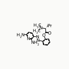 CC(C)[C@H](C(=O)Oc1ccccc1/N=N/c1ccc(N)nc1N)N(C)C